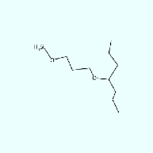 CCCC(CCC)OCCCO[SiH3]